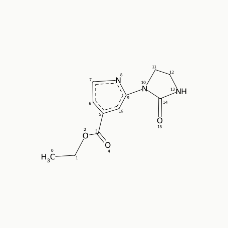 CCOC(=O)c1ccnc(N2CCNC2=O)c1